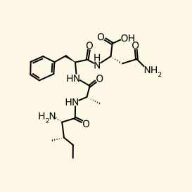 CC[C@H](C)[C@H](N)C(=O)N[C@@H](C)C(=O)N[C@@H](Cc1ccccc1)C(=O)N[C@@H](CC(N)=O)C(=O)O